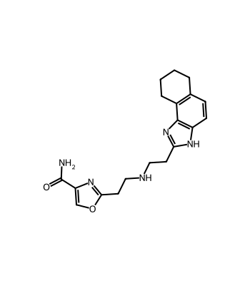 NC(=O)c1coc(CCNCCc2nc3c4c(ccc3[nH]2)CCCC4)n1